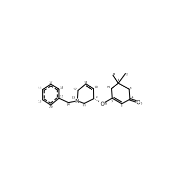 CC1(C)CC(=O)C=C(O[C@H]2C=CCN(Cc3ccccc3)C2)C1